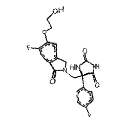 O=C1NC(=O)C(CN2Cc3cc(OCCO)c(F)cc3C2=O)(c2ccc(F)cc2)N1